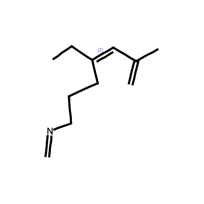 C=NCCC/C(=C\C(=C)C)CC